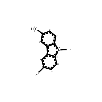 Cc1ccc2c(c1)c1cc(I)ccc1n2I